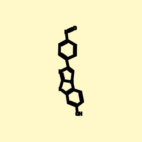 O=Nc1ccc(-c2cn3c(n2)sc2cc(O)ccc23)cc1